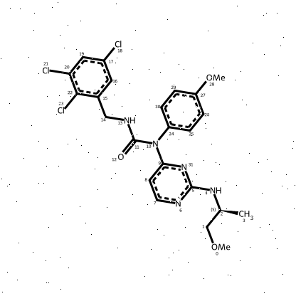 COC[C@H](C)Nc1nccc(N(C(=O)NCc2cc(Cl)cc(Cl)c2Cl)c2ccc(OC)cc2)n1